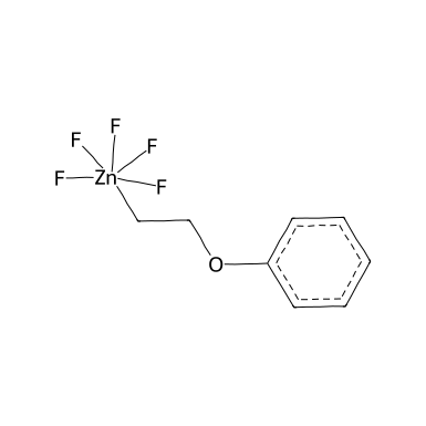 [F][Zn]([F])([F])([F])([F])[CH2]COc1ccccc1